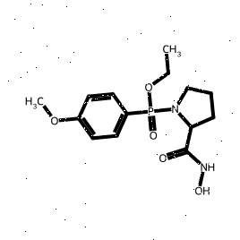 CCOP(=O)(c1ccc(OC)cc1)N1CCCC1C(=O)NO